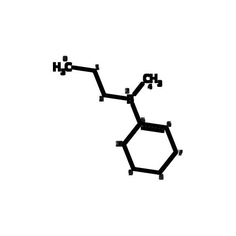 CCCB(C)C1=CCCCC1